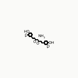 COc1cc(/C=C/C(=O)CC(=O)/C=C/c2ccc(O)c(OC)c2)ccc1O.N